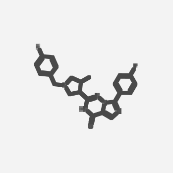 CC1CN(Cc2ccc(F)cc2)CC1c1nn2c(-c3ccc(F)cc3)ncc2c(=O)[nH]1